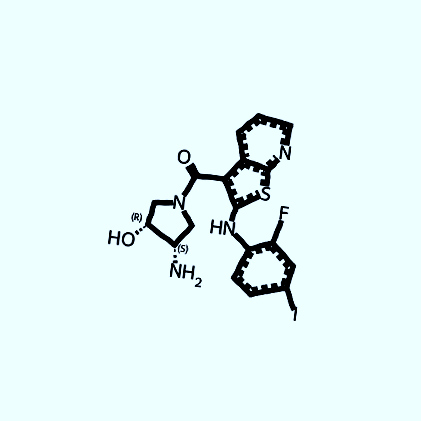 N[C@H]1CN(C(=O)c2c(Nc3ccc(I)cc3F)sc3ncccc23)C[C@H]1O